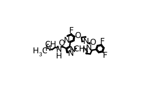 CN(C)CCNC(=O)c1cnn(C)c1-c1cc(OC2CN(C(=O)N3N=CCC3c3cc(F)cc(F)c3)C2)c(F)cn1